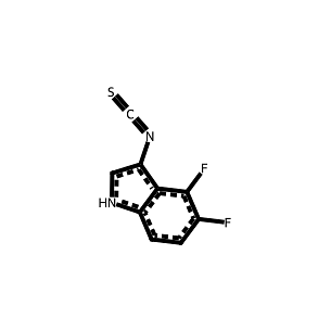 Fc1ccc2[nH]cc(N=C=S)c2c1F